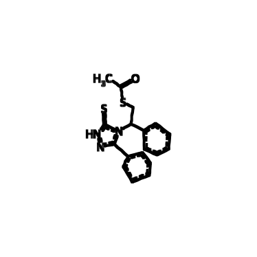 CC(=O)SCC(c1ccccc1)n1c(-c2ccccc2)n[nH]c1=S